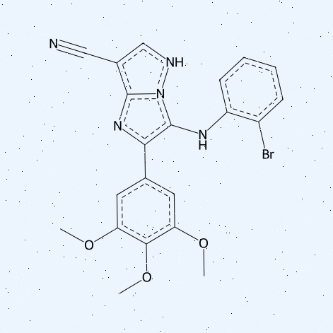 COc1cc(-c2nc3c(C#N)c[nH]n3c2Nc2ccccc2Br)cc(OC)c1OC